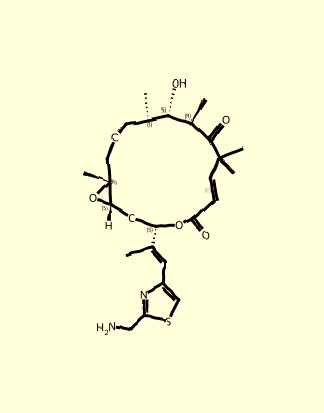 CC(=Cc1csc(CN)n1)[C@@H]1C[C@@H]2O[C@]2(C)CCC[C@H](C)[C@H](O)[C@@H](C)C(=O)C(C)(C)/C=C/C(=O)O1